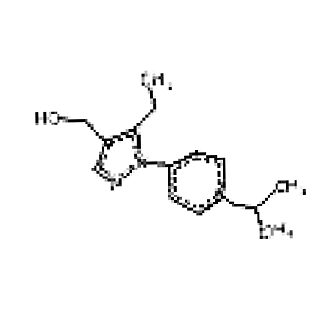 CCc1c(CO)cnn1-c1ccc(C(C)C)cc1